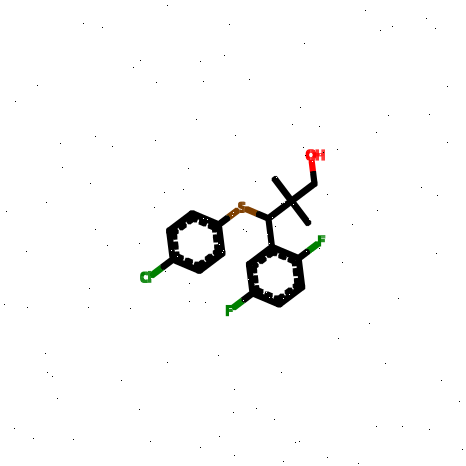 CC(C)(CO)C(Sc1ccc(Cl)cc1)c1cc(F)ccc1F